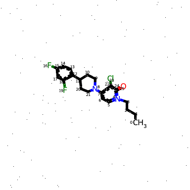 CCCCn1ccc(N2CCC(c3ccc(F)cc3F)CC2)c(Cl)c1=O